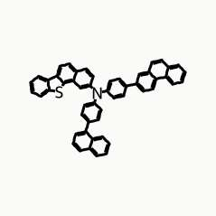 c1ccc2c(-c3ccc(N(c4ccc(-c5ccc6c(ccc7ccccc76)c5)cc4)c4ccc5ccc6c7ccccc7sc6c5c4)cc3)cccc2c1